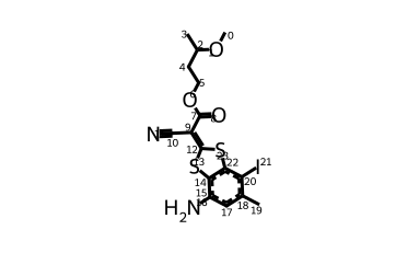 COC(C)CCOC(=O)/C(C#N)=C1/Sc2c(N)cc(C)c(I)c2S1